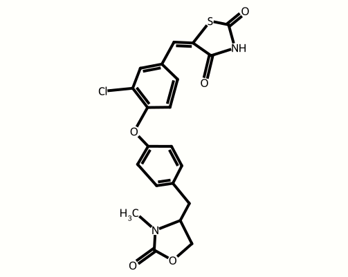 CN1C(=O)OCC1Cc1ccc(Oc2ccc(C=C3SC(=O)NC3=O)cc2Cl)cc1